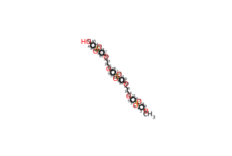 COc1ccc(S(=O)(=O)c2ccc(OCCCCOc3ccc(S(=O)(=O)c4ccc(OCCCCOc5ccc(S(=O)(=O)c6ccc(O)cc6)cc5)cc4)cc3)cc2)cc1